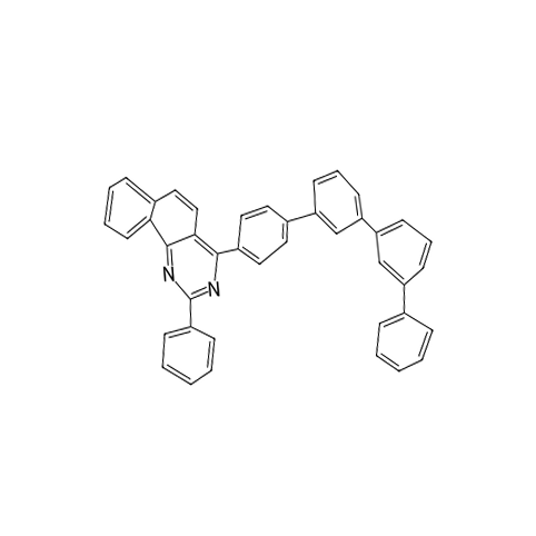 c1ccc(-c2cccc(-c3cccc(-c4ccc(-c5nc(-c6ccccc6)nc6c5ccc5ccccc56)cc4)c3)c2)cc1